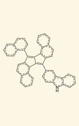 c1ccc2c(C3=C4C(=C(c5ccc6[nH]c7ccccc7c6c5)c5ccc6ccccc6c54)c4c3ccc3ccccc43)cccc2c1